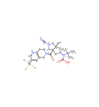 CC(C)(C)N(C(=O)O)[C@@H]1C[C@H]2CN(C#N)C[C@@]2(C(=O)N2CCc3ncc(C(F)(F)F)cc3C2)C1